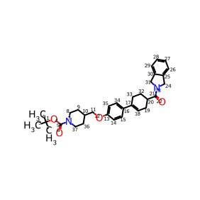 CC(C)(C)OC(=O)N1CCC(COc2ccc(C3=CCC(C(=O)N4Cc5ccccc5C4)CC3)cc2)CC1